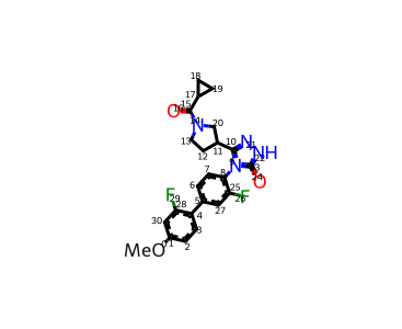 COc1ccc(-c2ccc(-n3c(C4CCN(C(=O)C5CC5)C4)n[nH]c3=O)c(F)c2)c(F)c1